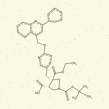 CCOC(=O)[C@@]1(Cc2ccc(OCc3cc(-c4ccccc4)nc4ccccc34)nc2)CN(C(=O)OC(C)(C)C)C[C@@H]1C(=O)O